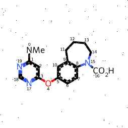 CNc1cc(Oc2ccc3c(c2)CCCCN3C(=O)O)ncn1